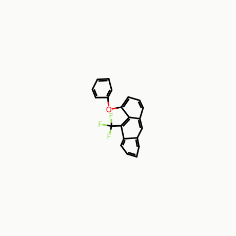 FC(F)(F)c1c2ccccc2cc2cccc(Oc3ccccc3)c12